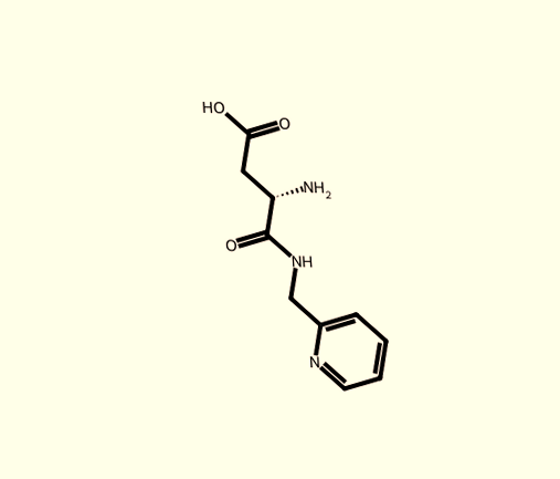 N[C@@H](CC(=O)O)C(=O)NCc1ccccn1